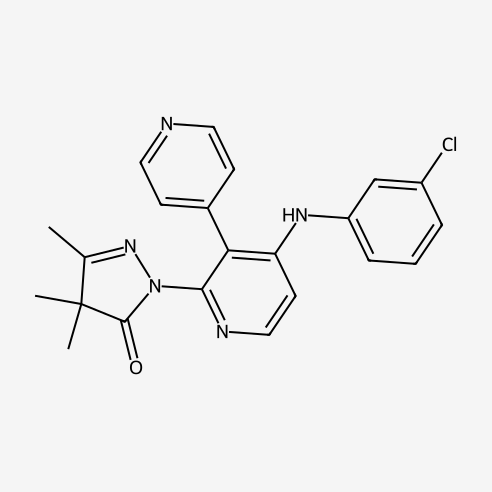 CC1=NN(c2nccc(Nc3cccc(Cl)c3)c2-c2ccncc2)C(=O)C1(C)C